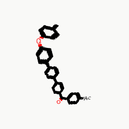 CC(=O)c1ccc(C(=O)c2ccc(-c3ccc(-c4ccc(Oc5ccc(C)cc5)cc4)cc3)cc2)cc1